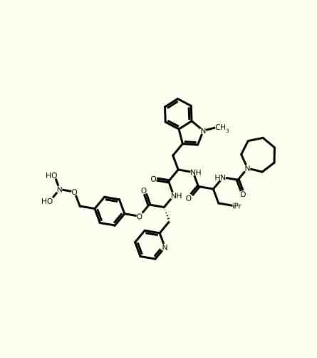 CC(C)CC(NC(=O)N1CCCCCC1)C(=O)NC(Cc1cn(C)c2ccccc12)C(=O)N[C@H](Cc1ccccn1)C(=O)Oc1ccc(CON(O)O)cc1